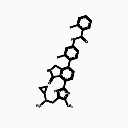 Cc1nc(-c2ccc(-c3ccc(NC(=O)c4ccccc4F)cc3F)c3c2C(=O)NC3)[nH]c1CN(C)C1CC1